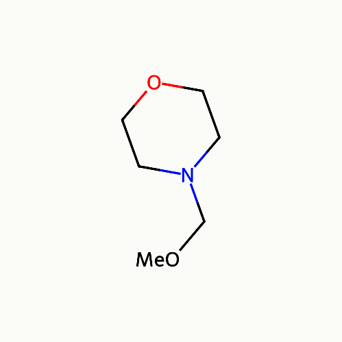 [CH2]OCN1CCOCC1